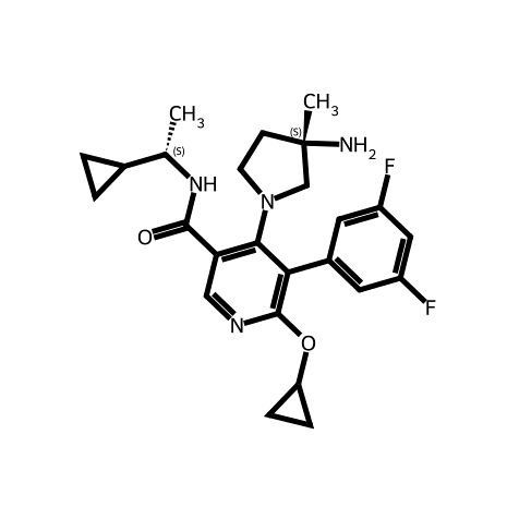 C[C@H](NC(=O)c1cnc(OC2CC2)c(-c2cc(F)cc(F)c2)c1N1CC[C@](C)(N)C1)C1CC1